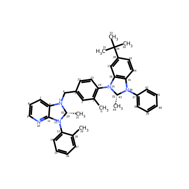 Cc1cc(CN2c3cccnc3N(c3ccccc3C)[C@H]2C)ccc1N1c2cc(C(C)(C)C)ccc2N(c2ccccc2)[C@@H]1C